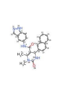 CC1=C(C(=O)Nc2ccc3[nH]ncc3c2)C(c2ccc3ccccc3c2)NC(=O)N1C